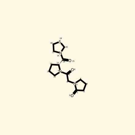 O=C1CCCN1CC(=O)N1CCC[C@@H]1C(=O)N1CCSC1